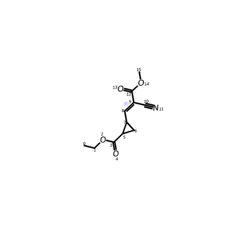 CCOC(=O)C1CC1/C=C(\C#N)C(=O)OC